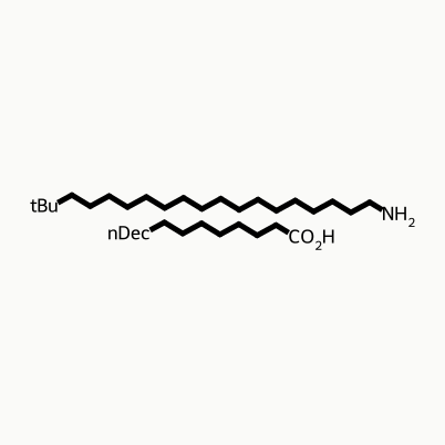 CC(C)(C)CCCCCCCCCCCCCCCCCN.CCCCCCCCCCCCCCCCCC(=O)O